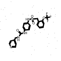 O=C(NCc1ccncc1)Nc1ccc(NS(=O)(=O)Cc2ccccc2OC(F)(F)F)cc1